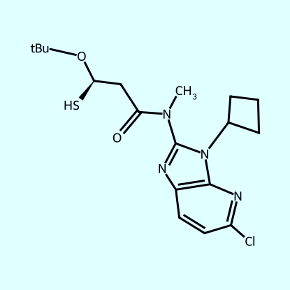 CN(C(=O)C[C@@H](S)OC(C)(C)C)c1nc2ccc(Cl)nc2n1C1CCC1